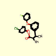 CC(C)C(C(=O)Oc1ccc(Cl)cc1)C(C#N)c1cccc(Oc2cccc(F)c2)c1